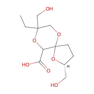 CCC1(CO)COC2(CC[C@H](CO)O2)C(C(=O)O)O1